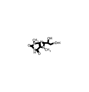 CCCCCCCCCCCC(O)c1nc2c(c(=O)[nH]c(=O)n2C)n1C